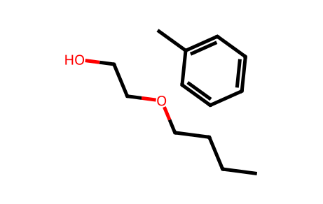 CCCCOCCO.Cc1ccccc1